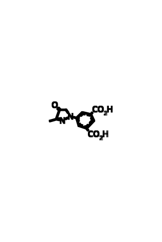 CC1=NN(c2cc(C(=O)O)cc(C(=O)O)c2)CC1=O